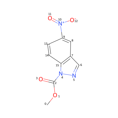 COC(=O)n1ncc2cc([N+](=O)[O-])[c]cc21